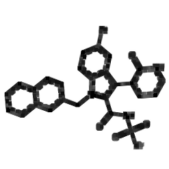 CCc1ccc2c(c1)c(-c1ccc[nH]c1=O)c(C(=O)NS(=O)(=O)C(C)C)n2Cc1ccc2ccccc2c1